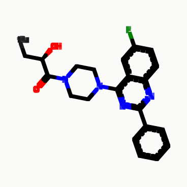 CC(C)(C)C[C@@H](O)C(=O)N1CCN(c2nc(-c3ccccc3)nc3ccc(F)cc23)CC1